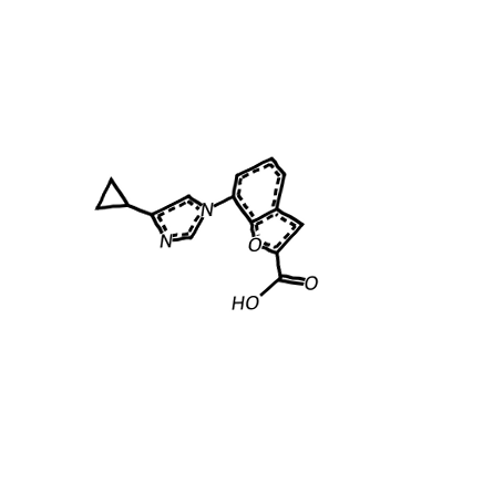 O=C(O)c1cc2cccc(-n3cnc(C4CC4)c3)c2o1